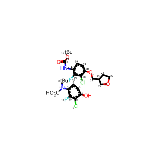 CC(C)(C)N(C(=O)O)c1ccc(O)c(Cl)c1F.CC(C)(C)OC(=O)Nc1ccc(OCC2CCOC2)c(Cl)c1F